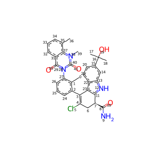 Cc1c(C2=C(Cl)C[C@H](C(N)=O)c3[nH]c4cc(C(C)(C)O)ccc4c32)cccc1-n1c(=O)c2cccc(C)c2n(C)c1=O